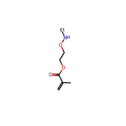 C=C(C)C(=O)OCCONCC